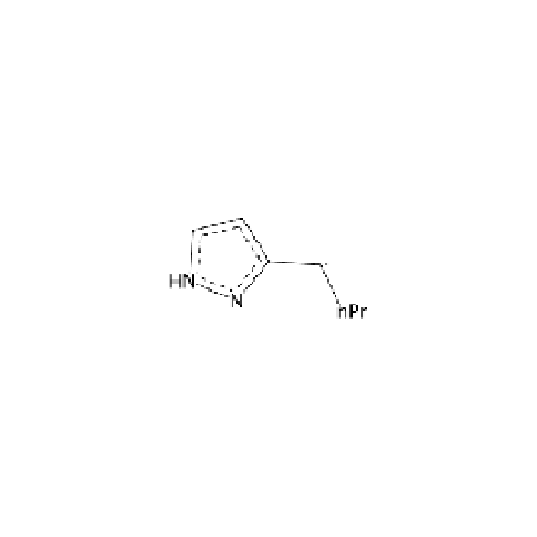 CCC[CH]c1cc[nH]n1